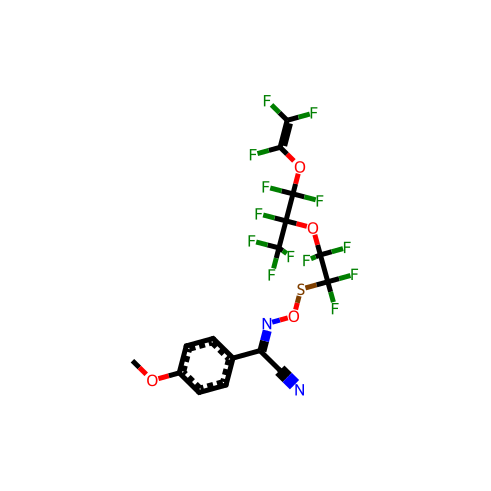 COc1ccc(C(C#N)=NOSC(F)(F)C(F)(F)OC(F)(C(F)(F)F)C(F)(F)OC(F)=C(F)F)cc1